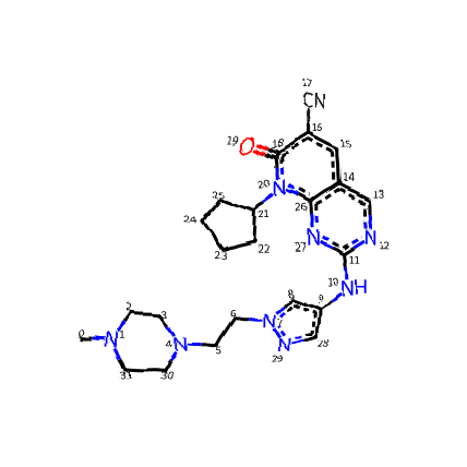 CN1CCN(CCn2cc(Nc3ncc4cc(C#N)c(=O)n(C5CCCC5)c4n3)cn2)CC1